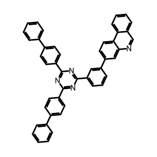 c1ccc(-c2ccc(-c3nc(-c4ccc(-c5ccccc5)cc4)nc(-c4cccc(-c5ccc6c(c5)ncc5ccccc56)c4)n3)cc2)cc1